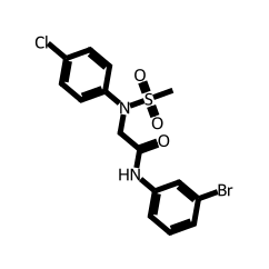 CS(=O)(=O)N(CC(=O)Nc1cccc(Br)c1)c1ccc(Cl)cc1